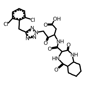 O=C(O)CC(NC(=O)C1NC(=O)C2CCCCC2NC1=O)C(=O)Cn1nnc(Cc2c(Cl)cccc2Cl)n1